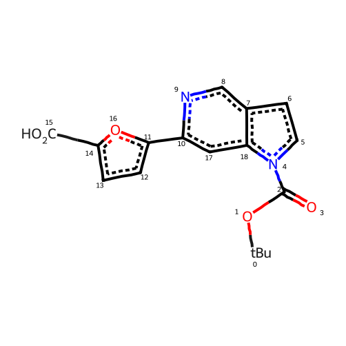 CC(C)(C)OC(=O)n1ccc2cnc(-c3ccc(C(=O)O)o3)cc21